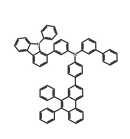 c1ccc(-c2cccc(N(c3ccc(-c4ccc5c(c4)c(-c4ccccc4)c(-c4ccccc4)c4ccccc45)cc3)c3cccc(-c4cccc5c6ccccc6n(-c6ccccc6)c45)c3)c2)cc1